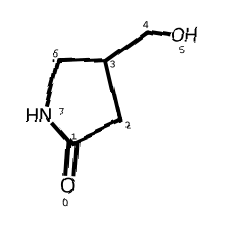 O=C1CC(CO)[CH]N1